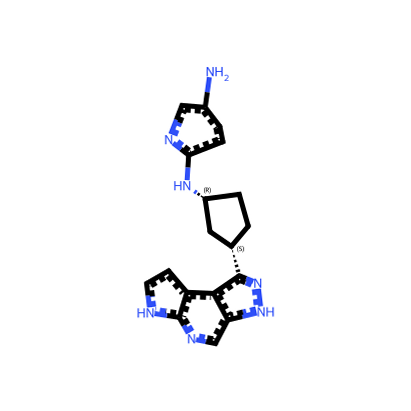 Nc1ccc(N[C@@H]2CC[C@H](c3n[nH]c4cnc5[nH]ccc5c34)C2)nc1